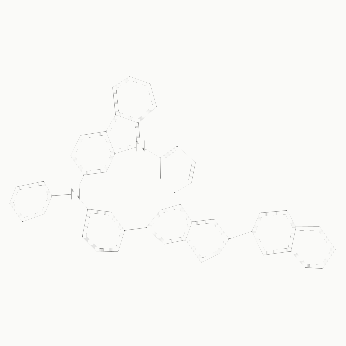 C1=CCCC(n2c3ccccc3c3ccc(N(c4ccccc4)c4cccc(-c5ccc6cc(-c7ccc8ccccc8c7)ccc6c5)c4)cc32)=C1